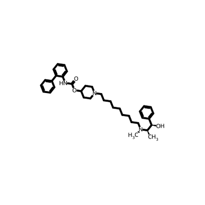 C[C@H]([C@H](O)c1ccccc1)N(C)CCCCCCCCCN1CCC(OC(=O)Nc2ccccc2-c2ccccc2)CC1